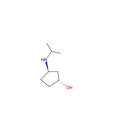 CC(C)N[C@@H]1CC[C@@H](O)C1